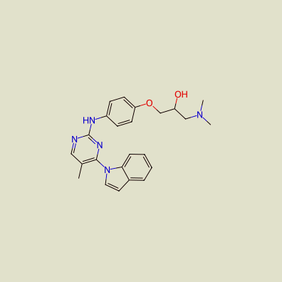 Cc1cnc(Nc2ccc(OCC(O)CN(C)C)cc2)nc1-n1ccc2ccccc21